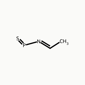 CC=NP=S